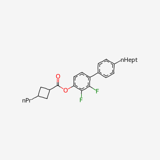 CCCCCCCc1ccc(-c2ccc(OC(=O)C3CC(CCC)C3)c(F)c2F)cc1